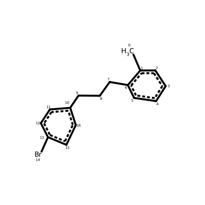 Cc1ccccc1CCCc1ccc(Br)cc1